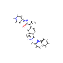 CCN(Cc1ccc([C@@H](C)C(=O)Nc2ccncc2)cc1)Cc1ccc2ccccc2n1